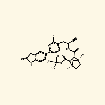 CC(C)(C)OC(=O)N1[C@@H]2CC[C@@H](C2)[C@H]1C(=O)NC(C#N)Cc1ccc(-c2ccc3c(c2)CC(=O)N3)cc1F